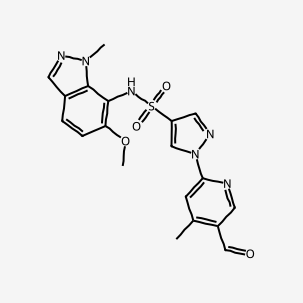 COc1ccc2cnn(C)c2c1NS(=O)(=O)c1cnn(-c2cc(C)c(C=O)cn2)c1